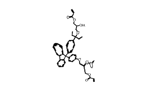 C=CC(=O)OCC(O)COC(CC)(CC)c1ccc(C2(c3ccc(OCC(COC(=O)C=C)OOC)cc3)c3ccccc3-c3ccccc32)cc1